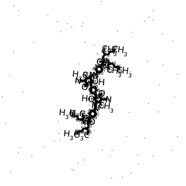 CCCCC(CC)CN(CC(CC)CCCC)S(=O)(=O)c1ccc(/N=N/c2c(C)c(C#N)c(=O)n(-c3ccc(-n4c(O)c(/N=N/c5ccc(S(=O)(=O)N(CC(CC)CCCC)CC(CC)CCCC)cc5)c(C)c(C#N)c4=O)cc3)c2O)cc1